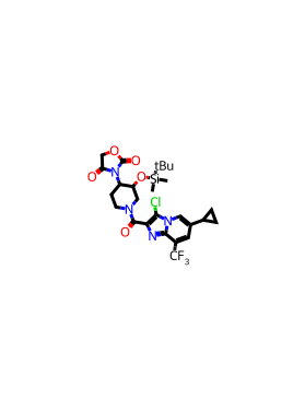 CC(C)(C)[Si](C)(C)OC1CN(C(=O)c2nc3c(C(F)(F)F)cc(C4CC4)cn3c2Cl)CCC1N1C(=O)COC1=O